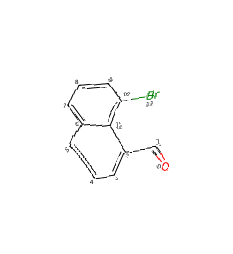 O=[C]c1cccc2cccc(Br)c12